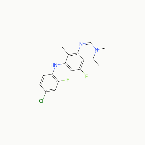 CCN(C)/C=N\c1cc(F)cc(Nc2ccc(Cl)cc2F)c1C